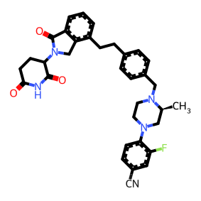 C[C@H]1CN(c2ccc(C#N)cc2F)CCN1Cc1ccc(CCc2cccc3c2CN(C2CCC(=O)NC2=O)C3=O)cc1